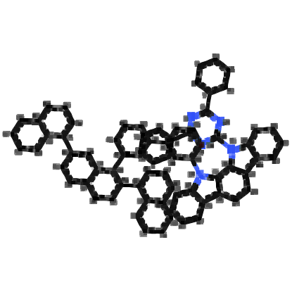 c1ccc(-c2nc(-c3ccccc3)nc(-n3c4ccccc4c4ccc5c6ccccc6n(-c6cccc(-c7cccc(-c8c(-c9cccc%10ccccc9%10)ccc9ccc(-c%10cccc%11ccccc%10%11)cc89)c7)c6)c5c43)n2)cc1